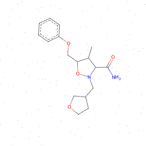 CC1C(COc2ccccc2)ON(CC2CCOC2)C1C(N)=O